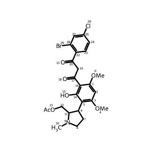 COc1cc(OC)c(C2CCN(C)C2COC(C)=O)c(O)c1C(=O)CC(=O)c1ccc(Cl)cc1Br